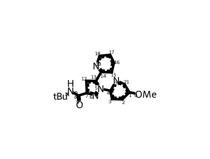 COc1ccc(-n2nc(C(=O)NC(C)(C)C)cc2-c2ccccn2)nc1